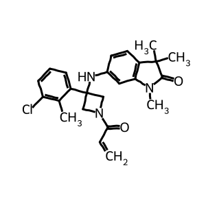 C=CC(=O)N1CC(Nc2ccc3c(c2)N(C)C(=O)C3(C)C)(c2cccc(Cl)c2C)C1